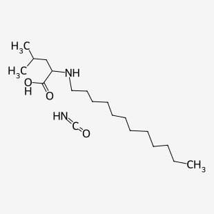 CCCCCCCCCCCCNC(CC(C)C)C(=O)O.N=C=O